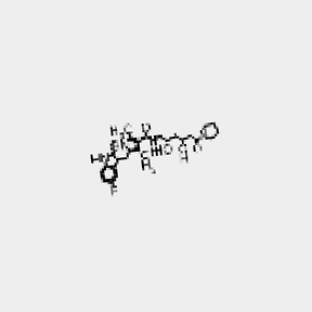 Cc1[nH]c(/C=C2\C(=O)Nc3ccc(F)cc32)c(C)c1C(=O)NC[C@@H](O)C[C@@H](O)CC(=O)N1CCCC1